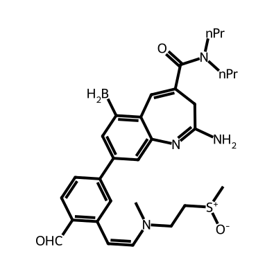 Bc1cc(-c2ccc(C=O)c(/C=C\N(C)CC[S+](C)[O-])c2)cc2c1C=C(C(=O)N(CCC)CCC)CC(N)=N2